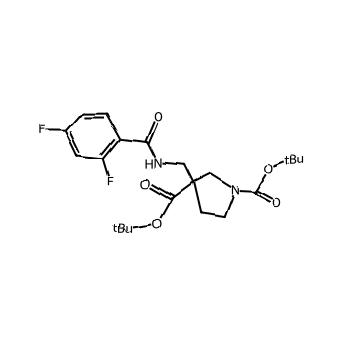 CC(C)(C)OC(=O)N1CCC(CNC(=O)c2ccc(F)cc2F)(C(=O)OC(C)(C)C)C1